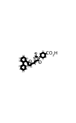 O=C(O)C1CCC(N2C(=O)C(=Cc3ccc(-c4ccccc4-c4ccccc4)o3)SC2=S)CC1